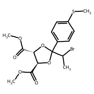 COC(=O)[C@@H]1OC(c2ccc(SC)cc2)(C(C)Br)O[C@H]1C(=O)OC